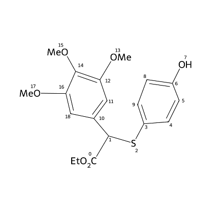 CCOC(=O)C(Sc1ccc(O)cc1)c1cc(OC)c(OC)c(OC)c1